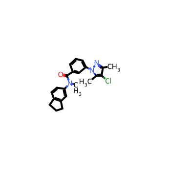 Cc1nn(-c2cccc(C(=O)N(C)c3ccc4c(c3)CCC4)c2)c(C)c1Cl